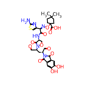 CC1(C)CCC(O/N=C(\C(=O)N[C@H]2CON(C(C=O)C[C@@H](C=O)N3C(=O)c4cc(O)c(O)cc4C3=O)C2=O)c2csc(N)n2)(C(=O)O)CC1